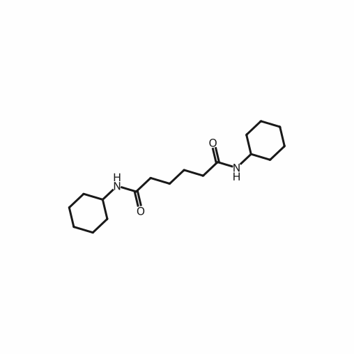 O=C(CCCCC(=O)NC1CCCCC1)NC1CCCCC1